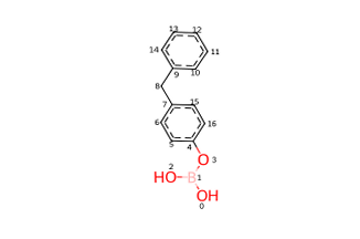 OB(O)Oc1ccc(Cc2ccccc2)cc1